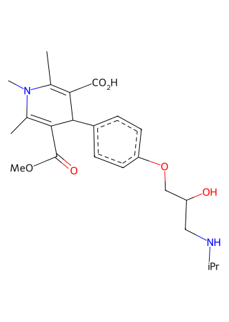 COC(=O)C1=C(C)N(C)C(C)=C(C(=O)O)C1c1ccc(OCC(O)CNC(C)C)cc1